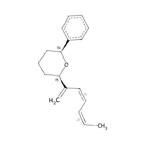 C=C(/C=C\C=C/C)[C@H]1CCC[C@@H](c2ccccc2)O1